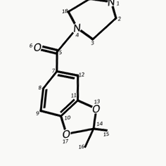 CN1CCN(C(=O)c2ccc3c(c2)OC(C)(C)O3)CC1